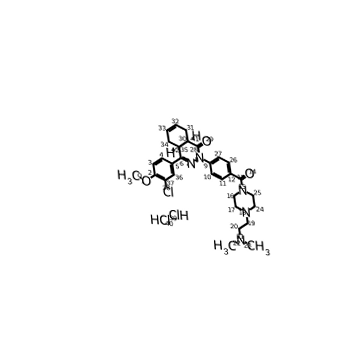 COc1ccc(C2=NN(c3ccc(C(=O)N4CCN(CCN(C)C)CC4)cc3)C(=O)[C@@H]3CC=CC[C@H]23)cc1Cl.Cl.Cl